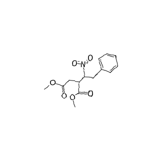 COC(=O)CC(C(=O)OC)C(Cc1ccccc1)[N+](=O)[O-]